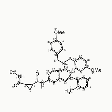 CCNC(=O)C1CC1C(=O)Nc1cc2cc(-c3cnccc3C)nc(N(Cc3ccc(OC)cc3)Cc3ccc(OC)cc3)c2cn1